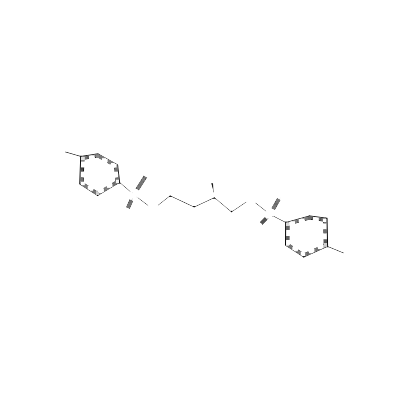 Cc1ccc(S(=O)(=O)OCC[C@@H](F)COS(=O)(=O)c2ccc(C)cc2)cc1